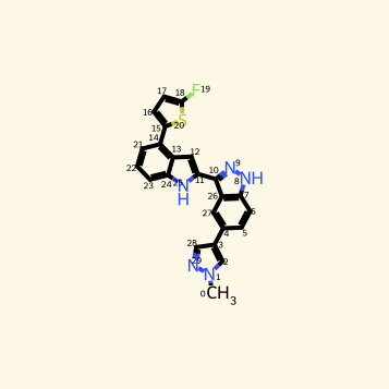 Cn1cc(-c2ccc3[nH]nc(-c4cc5c(-c6ccc(F)s6)cccc5[nH]4)c3c2)cn1